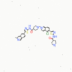 Cc1cc2cc(-c3cnc(NC(=O)C4CCN(C[n+]5ccc6c(Cl)c(-c7cnc(NC(=O)C8CCN(C)CC8)s7)ccc6c5)CC4)s3)ccc2cn1